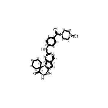 CCN1CCN(C(=O)c2ccc(Nc3ncc4cc5n(c4n3)C3(CCCCC3)C(=O)NN5)cc2)CC1